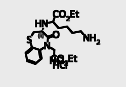 CCOC(=O)CN1C(=O)[C@@H](NC(CCCCN)C(=O)OCC)CSc2ccccc21.Cl.Cl